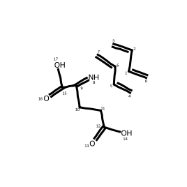 C=CC=C.C=CC=C.N=C(CCC(=O)O)C(=O)O